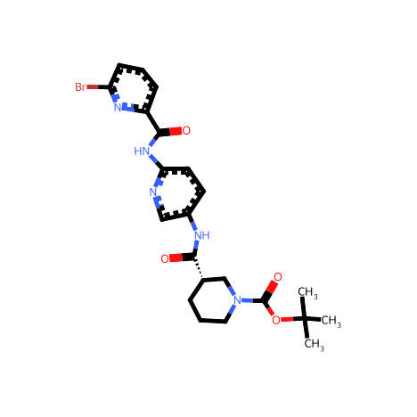 CC(C)(C)OC(=O)N1CCC[C@H](C(=O)Nc2ccc(NC(=O)c3cccc(Br)n3)nc2)C1